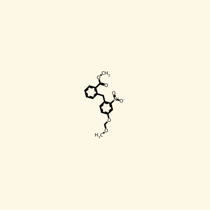 COCOc1ccc(Cc2ccccc2C(=O)OC)c([N+](=O)[O-])c1